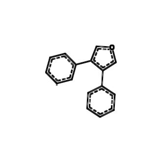 [c]1cccc(-c2cocc2-c2ccccc2)c1